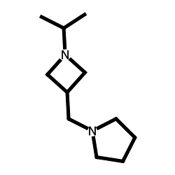 CC(C)N1CC(CN2CCCC2)C1